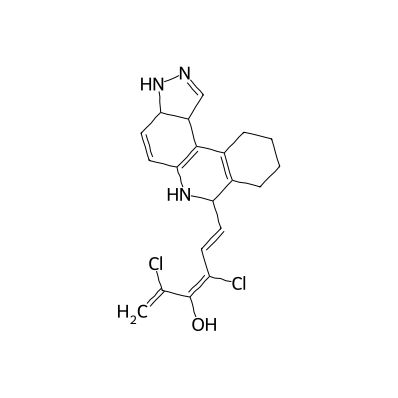 C=C(Cl)/C(O)=C(Cl)\C=C\C1NC2=C(C3=C1CCCC3)C1C=NNC1C=C2